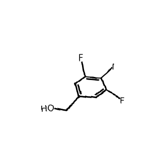 OCc1cc(F)c(I)c(F)c1